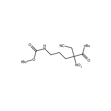 CCCCC(=O)C(CC#N)(CCCNC(=O)OC(C)(C)C)[N+](=O)[O-]